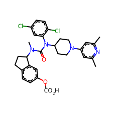 Cc1cc(N2CCC(N(C(=O)N(C)C3CCc4ccc(OC(=O)O)cc43)c3cc(Cl)ccc3Cl)CC2)cc(C)n1